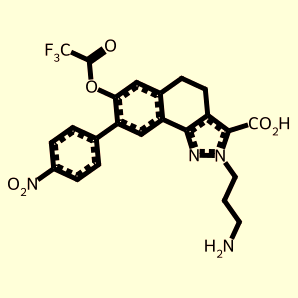 NCCCn1nc2c(c1C(=O)O)CCc1cc(OC(=O)C(F)(F)F)c(-c3ccc([N+](=O)[O-])cc3)cc1-2